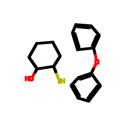 OC1CCCCC1S.c1ccc(Oc2ccccc2)cc1